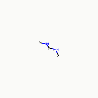 CN[CH]NC